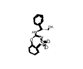 O=S1(=O)N=C(N[C@@H](CO)c2ccccc2)OC2CCCCC21